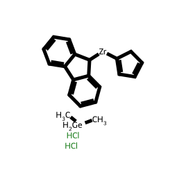 C1=CC[C]([Zr][CH]2c3ccccc3-c3ccccc32)=C1.Cl.Cl.[CH3][GeH2][CH3]